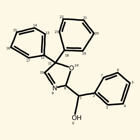 OC(c1ccccc1)C1N=CC(c2ccccc2)(c2ccccc2)O1